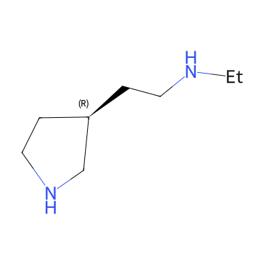 CCNCC[C@@H]1CCNC1